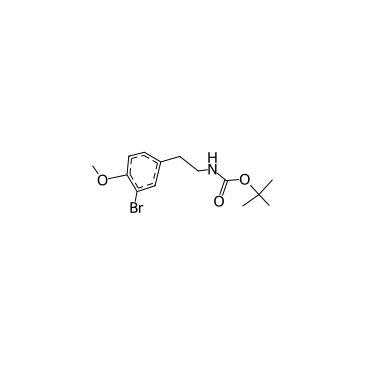 COc1ccc(CCNC(=O)OC(C)(C)C)cc1Br